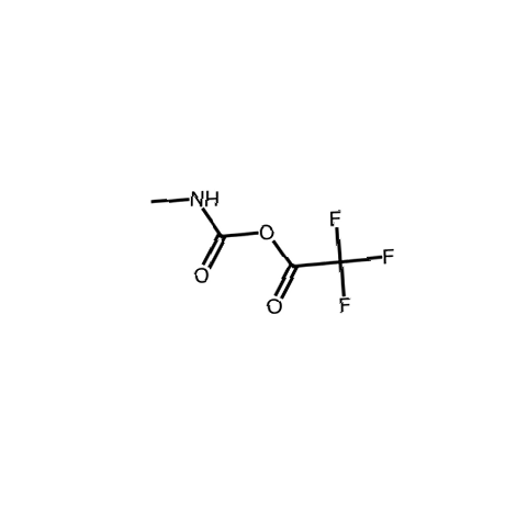 CNC(=O)OC(=O)C(F)(F)F